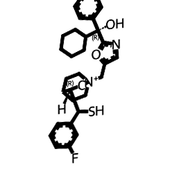 O[C@](c1ccccc1)(c1ncc(C[N+]23CCC(CC2)[C@@H](C(S)c2cccc(F)c2)C3)o1)C1CCCCC1